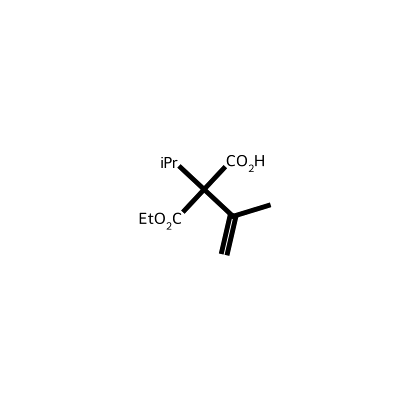 C=C(C)C(C(=O)O)(C(=O)OCC)C(C)C